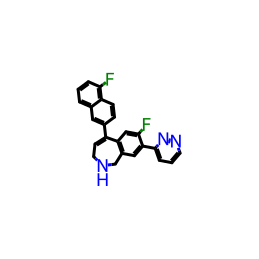 Fc1cc2c(cc1-c1cccnn1)CNCC=C2c1ccc2c(F)cccc2c1